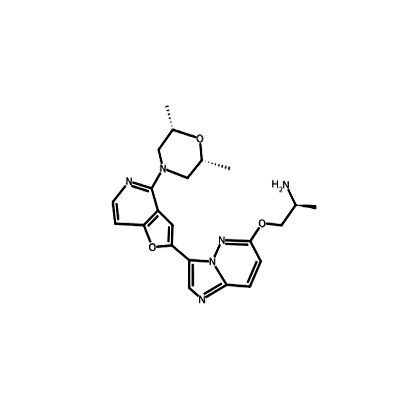 C[C@H](N)COc1ccc2ncc(-c3cc4c(N5C[C@@H](C)O[C@@H](C)C5)nccc4o3)n2n1